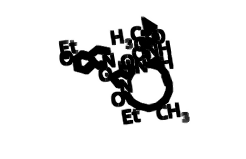 CCOc1ccc2c(O[C@@H]3C[C@H]4C(=O)N[C@]5(C(=O)NS(=O)(=O)C6(C)CC6)C[C@H]5/C=C\CC[C@H](C)C[C@@H](CC)CC(=O)N4C3)nccc2c1